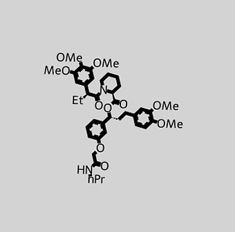 CCCNC(=O)COc1cccc([C@@H](CCc2ccc(OC)c(OC)c2)OC(=O)[C@@H]2CCCCN2C(=O)[C@@H](CC)c2cc(OC)c(OC)c(OC)c2)c1